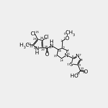 COCC1CN(c2ncc(C(=O)O)s2)CCC1NC(=O)c1[nH]c(C)c(Cl)c1Cl